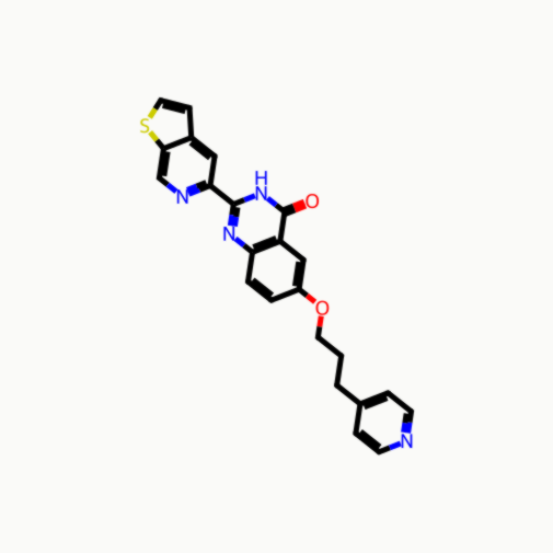 O=c1[nH]c(-c2cc3ccsc3cn2)nc2ccc(OCCCc3ccncc3)cc12